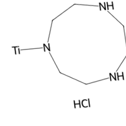 Cl.[Ti][N]1CCNCCNCC1